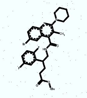 Cc1c(N2CCCCC2)nc2ccc(Br)cc2c1C(=O)NCC(CCC(=O)OC(C)(C)C)c1cc(F)ccc1F